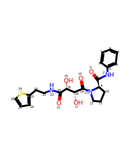 O=C(Nc1ccccc1)[C@H]1CCCN1C(=O)[C@H](O)[C@@H](O)C(=O)NCCc1cccs1